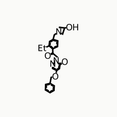 CCc1cc(CN2CC(O)C2)ccc1C(=O)Cn1ncc(OCc2ccccc2)cc1=O